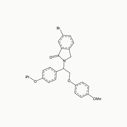 COc1ccc(OCC(c2ccc(OC(C)C)cc2)N2Cc3ccc(Br)cc3C2=O)cc1